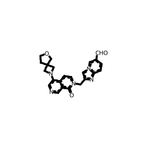 O=Cc1ccc2nc(Cn3ccc4c(N5CC6(CCOC6)C5)cncc4c3=O)cn2c1